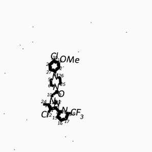 COc1cc(N2CCN(C(=O)Cn3nc(-c4cccc(C(F)(F)F)n4)c(Cl)c3C)CC2)ccc1Cl